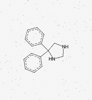 c1ccc(C2(c3ccccc3)CNCN2)cc1